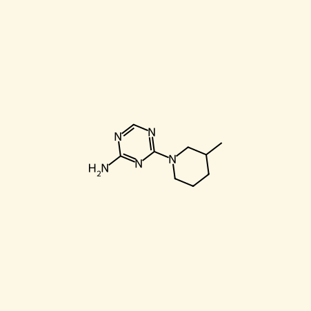 CC1CCCN(c2ncnc(N)n2)C1